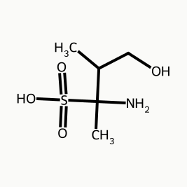 CC(CO)C(C)(N)S(=O)(=O)O